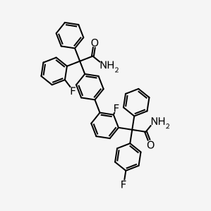 NC(=O)C(c1ccccc1)(c1ccc(-c2cccc(C(C(N)=O)(c3ccccc3)c3ccc(F)cc3)c2F)cc1)c1ccccc1F